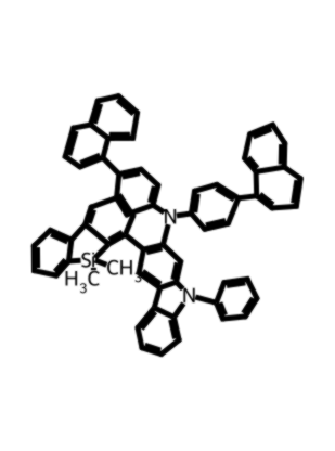 C[Si]1(C)c2ccccc2-c2cccc(-c3cc4c5ccccc5n(-c5ccccc5)c4cc3N(c3ccc(-c4cccc5ccccc45)cc3)c3ccc(-c4cccc5ccccc45)cc3)c21